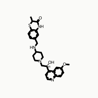 COc1ccc2nccc([C@@H](O)CN3CCC(NCc4ccc5c(c4)NC(=O)C(C)S5)CC3)c2c1